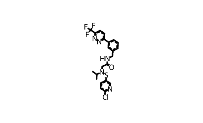 CC(C)N(CC(=O)NCc1cccc(-c2ccc(C(F)(F)F)nn2)c1)Sc1ccc(Cl)nc1